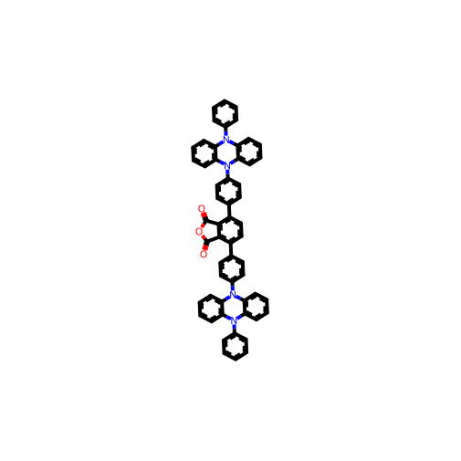 O=C1OC(=O)c2c(-c3ccc(N4c5ccccc5N(c5ccccc5)c5ccccc54)cc3)ccc(-c3ccc(N4c5ccccc5N(c5ccccc5)c5ccccc54)cc3)c21